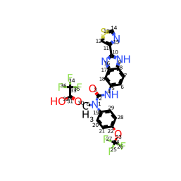 CN(C(=O)Nc1ccc2[nH]c(-c3cscn3)nc2c1)c1ccc(OC(F)(F)F)cc1.O=C(O)C(F)(F)F